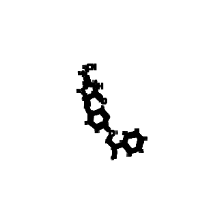 CC(COc1ccc(C=C2SC(=NC#N)NC2=O)cc1)c1ccccc1